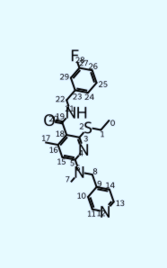 CCSc1nc(N(C)Cc2ccncc2)cc(C)c1C(=O)NCc1cccc(F)c1